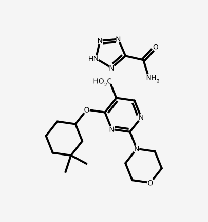 CC1(C)CCCC(Oc2nc(N3CCOCC3)ncc2C(=O)O)C1.NC(=O)c1nn[nH]n1